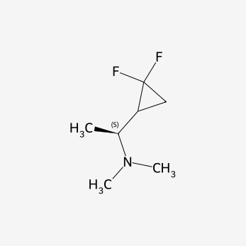 C[C@@H](C1CC1(F)F)N(C)C